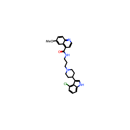 COc1ccc2nccc(C(=O)NCCCN3CCC(c4c[nH]c5cccc(Cl)c45)CC3)c2c1